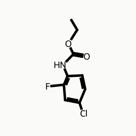 CCOC(=O)Nc1ccc(Cl)cc1F